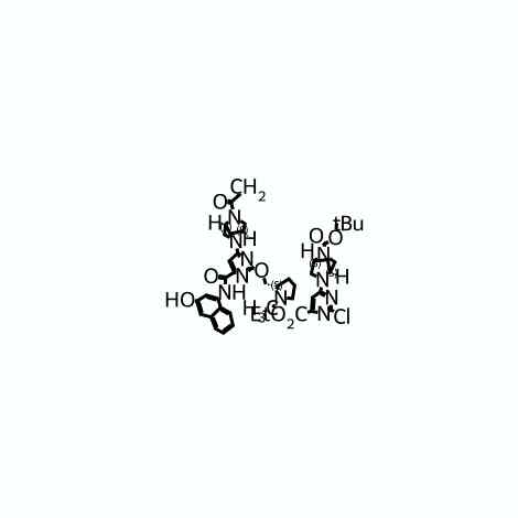 C=CC(=O)N1C[C@@H]2C[C@H]1CN2c1cc(C(=O)Nc2cc(O)cc3ccccc23)nc(OC[C@@H]2CCCN2C)n1.CCOC(=O)c1cc(N2C[C@@H]3C[C@H]2CN3C(=O)OC(C)(C)C)nc(Cl)n1